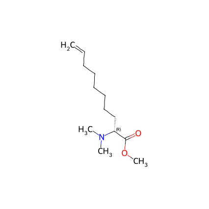 C=CCCCCCC[C@H](C(=O)OC)N(C)C